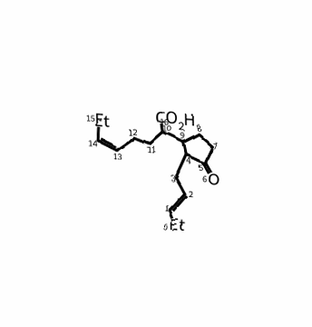 CCC=CCC1C(=O)CCC1C(CC/C=C\CC)C(=O)O